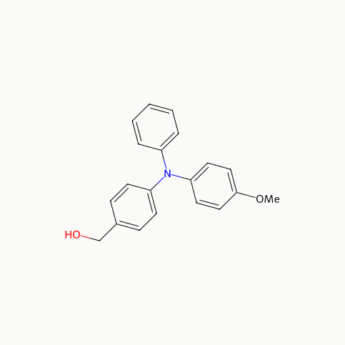 COc1ccc(N(c2ccccc2)c2ccc(CO)cc2)cc1